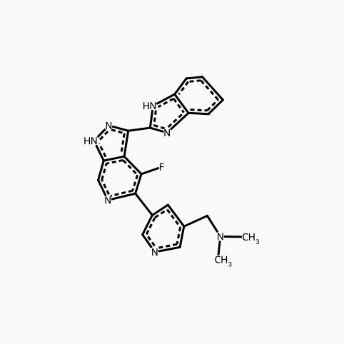 CN(C)Cc1cncc(-c2ncc3[nH]nc(-c4nc5ccccc5[nH]4)c3c2F)c1